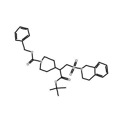 CC(C)(C)OC(=O)C(CS(=O)(=O)N1CCc2ccccc2C1)C1CCN(C(=O)OCc2ccccc2)CC1